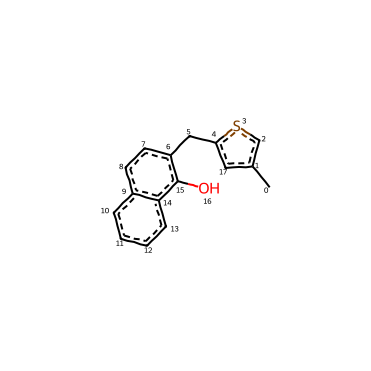 Cc1csc(Cc2ccc3ccccc3c2O)c1